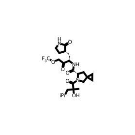 CC(C)CC(C)(O)C(=O)N1CC2(CC2)C[C@H]1C(=O)N[C@@H](C[C@@H]1CCNC1=O)C(=O)COC(F)(F)F